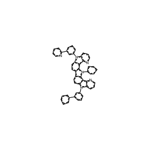 c1ccc(-c2cccc(-n3c4cccnc4c4c3ccc3c5ccc6c(c7ncccc7n6-c6cccc(-c7ccccn7)c6)c5n(-c5ccccc5)c34)c2)cc1